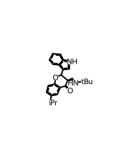 CC(C)c1ccc2c(c1)C(=O)/C(=C\NC(C)(C)C)C(c1c[nH]c3ccccc13)O2